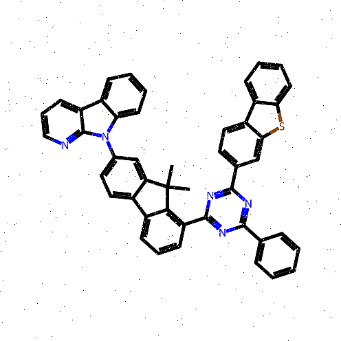 CC1(C)c2cc(-n3c4ccccc4c4cccnc43)ccc2-c2cccc(-c3nc(-c4ccccc4)nc(-c4ccc5c(c4)sc4ccccc45)n3)c21